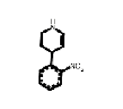 O=[N+]([O-])c1ccccc1C1C=CNCC1